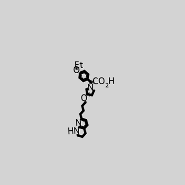 CCOc1ccc([C@@H](C(=O)O)N2CC[C@@H](OCCCCc3ccc4c(n3)NCCC4)C2)cc1